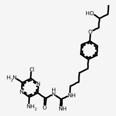 CCC(O)COc1ccc(CCCCNC(=N)NC(=O)c2nc(Cl)c(N)nc2N)cc1